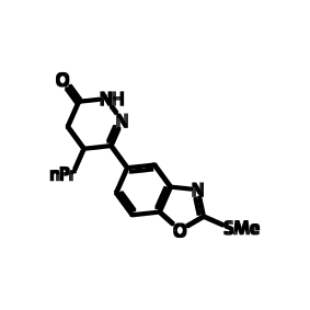 CCCC1CC(=O)NN=C1c1ccc2oc(SC)nc2c1